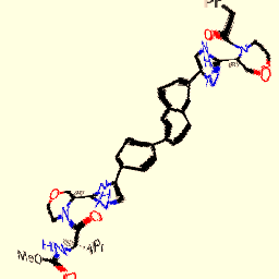 COC(=O)N[C@H](C(=O)N1CCOC[C@H]1c1nc(-c2ccc(-c3ccc4cc(-c5c[nH]c([C@@H]6COCCN6C(=O)CC(C)C)n5)ccc4c3)cc2)c[nH]1)C(C)C